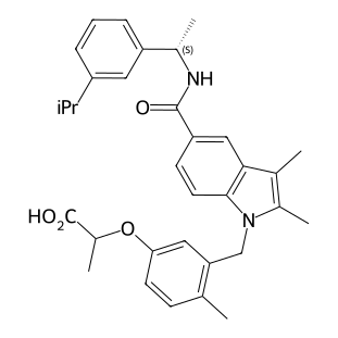 Cc1ccc(OC(C)C(=O)O)cc1Cn1c(C)c(C)c2cc(C(=O)N[C@@H](C)c3cccc(C(C)C)c3)ccc21